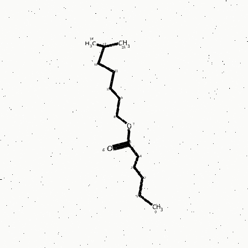 CCCCCC(=O)OCCCCCC(C)C